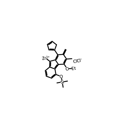 C=c1c(C)c(OCC)c2c(c1C1=CC=CC1)[C]([Zr+2])=c1cccc(O[Si](C)(C)C)c1=2.[Cl-].[Cl-]